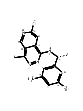 Cc1nnc(N[C@H](C)c2cc(N)cc(C(F)(F)F)n2)c2cc(Cl)ncc12